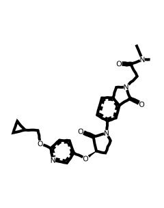 CN(C)C(=O)CN1Cc2ccc(N3CC[C@@H](Oc4ccc(OCC5CC5)nc4)C3=O)cc2C1=O